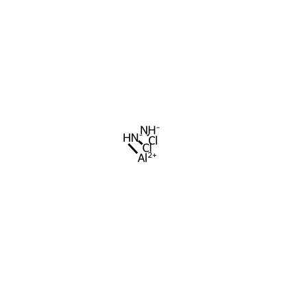 [CH3][Al+2].[NH-]Cl.[NH-]Cl